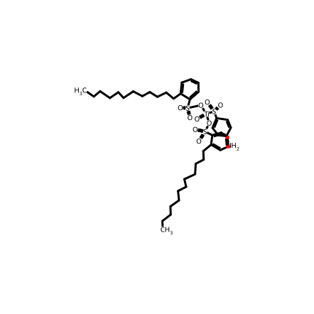 CCCCCCCCCCCCc1ccccc1S(=O)(=O)[O][Ti](=[O])([O]S(=O)(=O)c1ccccc1CCCCCCCCCCCC)[S](=O)(=O)c1ccc(N)cc1